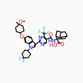 COC1(C)CCC(Oc2ccc3c(-c4ncc(C(=O)NC5(C(=O)O)C6CC7CC(C6)CC5C7)c(C(F)(F)F)n4)cn(C4CCC(F)(F)CC4)c3c2)CC1